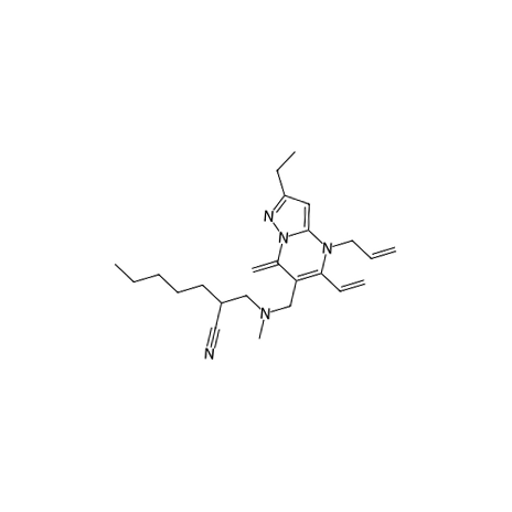 C=CCN1C(C=C)=C(CN(C)CC(C#N)CCCCC)C(=C)n2nc(CC)cc21